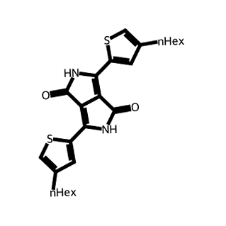 CCCCCCc1csc(C2=C3C(=O)NC(c4cc(CCCCCC)cs4)=C3C(=O)N2)c1